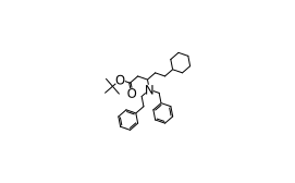 CC(C)(C)OC(=O)CC(CCC1CCCCC1)N(CCc1ccccc1)Cc1ccccc1